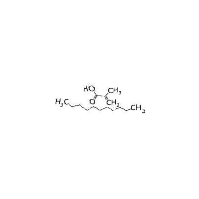 C=C(C)C(=O)O.CCCCCCCCCCC